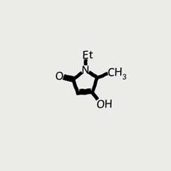 CCN1C(=O)C=C(O)C1C